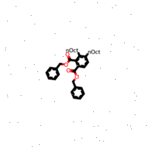 CCCCCCCCc1ccc(C(=O)OCc2ccccc2)c(C(=O)OCc2ccccc2)c1CCCCCCCC